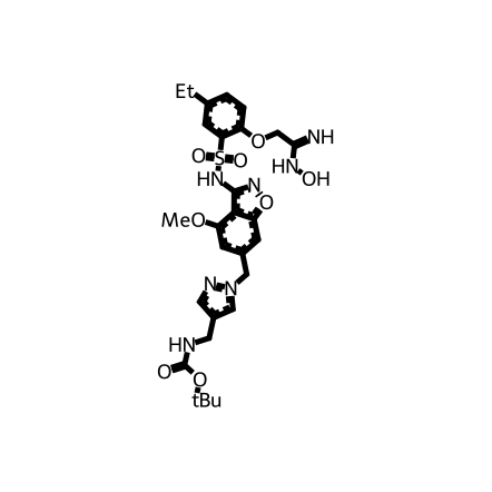 CCc1ccc(OCC(=N)NO)c(S(=O)(=O)Nc2noc3cc(Cn4cc(CNC(=O)OC(C)(C)C)cn4)cc(OC)c23)c1